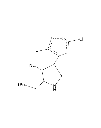 CC(C)(C)CC1NCC(c2cc(Cl)ccc2F)C1C#N